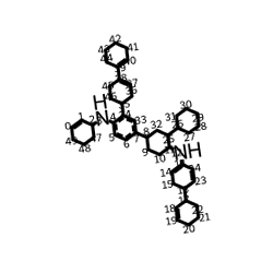 C1=CC(Nc2ccc(C3CCC(NC4=CCC(C5C=CCCC5)C=C4)C(C4CCCCC4)C3)cc2C2CC=C(C3=CCCCC3)CC2)CCC1